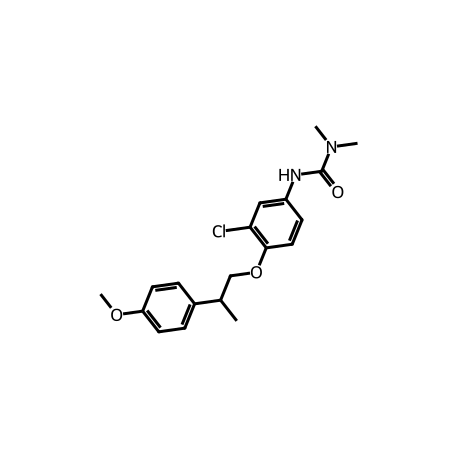 COc1ccc(C(C)COc2ccc(NC(=O)N(C)C)cc2Cl)cc1